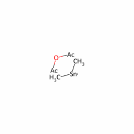 CC(=O)OC(C)=O.[CH3][Sn][CH3]